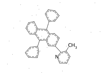 Cc1cccnc1-c1ccc2c(-c3ccccc3)c3ccccc3c(-c3ccccc3)c2c1